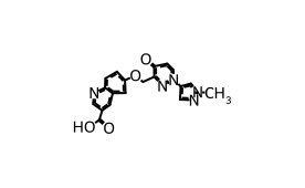 Cn1cc(-n2ccc(=O)c(COc3ccc4ncc(C(=O)O)cc4c3)n2)cn1